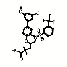 COc1cc(Cl)cc(-c2ccc3c(c2)N(S(=O)(=O)c2cccc(C(F)(F)F)c2)CC(CC(C)(C)C(=O)O)O3)c1